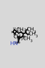 CCC(CC)C(CCC1(C)CCC1C)C(C)C1CC1C=N